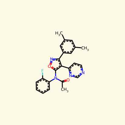 CC(=O)N(c1ccccc1F)c1onc(-c2cc(C)cc(C)c2)c1-c1ccncn1